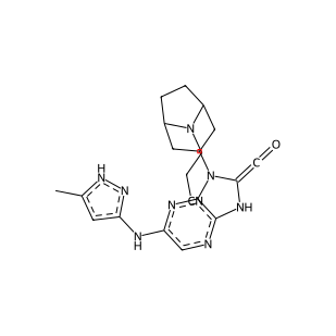 Cc1cc(Nc2cnc3c(n2)N(C2CC4CCC(C2)N4CCC#N)C(=C=O)N3)n[nH]1